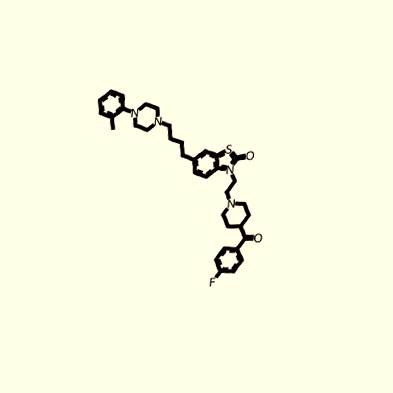 Cc1ccccc1N1CCN(CCCCc2ccc3c(c2)sc(=O)n3CCN2CCC(C(=O)c3ccc(F)cc3)CC2)CC1